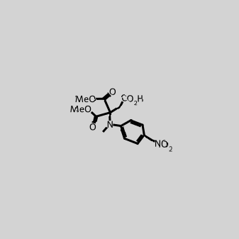 COC(=O)C(CC(=O)O)(C(=O)OC)N(C)c1ccc([N+](=O)[O-])cc1